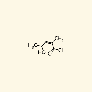 CC(=CC(C)O)C(=O)Cl